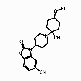 CCOC1CCC(C)(N2CCC(n3c(=O)[nH]c4ccc(C#N)cc43)CC2)CC1